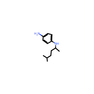 CC(C)CCC(C)Nc1ccc(N)cc1